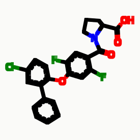 O=C(O)C1CCCN1C(=O)c1cc(F)c(Oc2ccc(Cl)cc2-c2ccccc2)cc1F